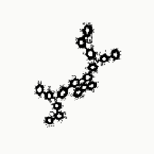 c1ccc(-c2ccc(N(c3ccc(-c4ccc5c(c4)-c4ccc(-c6ccc(N(c7ccc(-c8ccccc8)cc7)c7ccc(-c8cccc9c8oc8ccccc89)cc7)cc6)cc4C54c5ccccc5-c5ccccc54)cc3)c3ccc(-c4cccc5c4oc4ccccc45)cc3)cc2)cc1